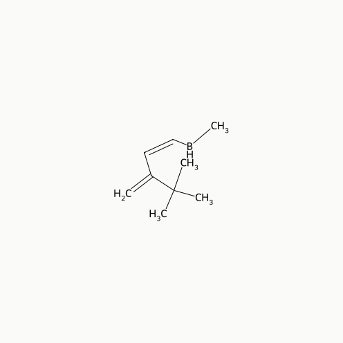 C=C(/C=C\BC)C(C)(C)C